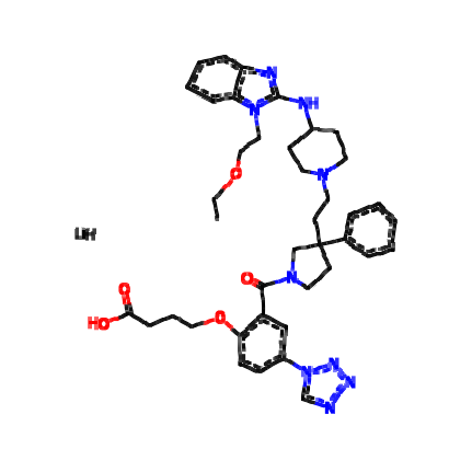 CCOCCn1c(NC2CCN(CCC3(c4ccccc4)CCN(C(=O)c4cc(-n5cnnn5)ccc4OCCCC(=O)O)C3)CC2)nc2ccccc21.[LiH]